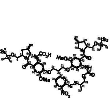 C=C1CC(CO[Si](C)(C)C(C)(C)C)N(C(=O)c2cc(OC)c(OCCCOc3cc(NC(=O)OCC(C)SSc4ncccc4[N+](=O)[O-])c(C(=O)N4CC(=C)CC4CO[Si](C)(C)C(C)(C)C)cc3OC)cc2NC(=O)O)C1